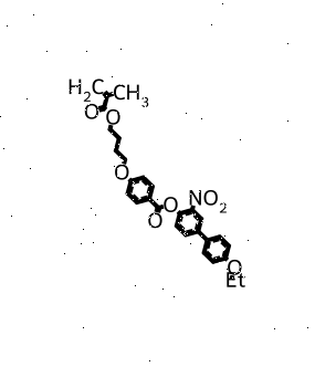 C=C(C)C(=O)OCCCCOc1ccc(C(=O)Oc2ccc(-c3ccc(OCC)cc3)cc2[N+](=O)[O-])cc1